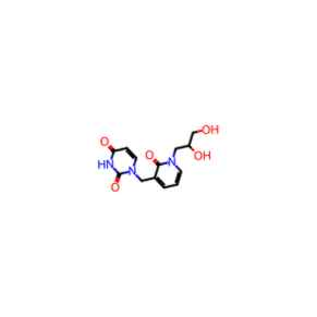 O=c1ccn(Cc2cccn(CC(O)CO)c2=O)c(=O)[nH]1